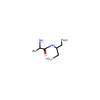 CCCC(C)CC(CC(=O)O)NC(=O)C(N)C(C)CC